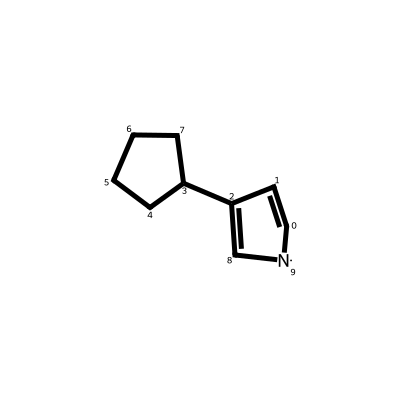 C1=CC(C2CCCC2)=C[N]1